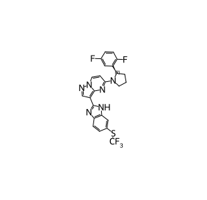 Fc1ccc(F)c([C@H]2CCCN2c2ccn3ncc(-c4nc5ccc(SC(F)(F)F)cc5[nH]4)c3n2)c1